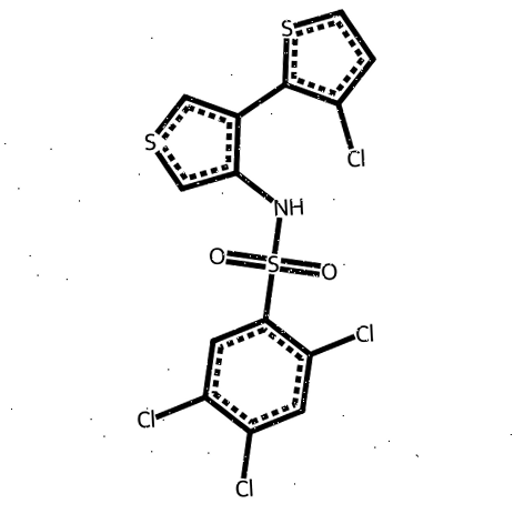 O=S(=O)(Nc1cscc1-c1sccc1Cl)c1cc(Cl)c(Cl)cc1Cl